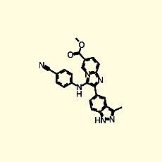 COC(=O)c1ccc2nc(-c3ccc4[nH]nc(C)c4c3)c(Nc3ccc(C#N)cc3)n2c1